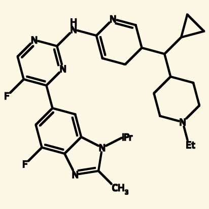 CCN1CCC(C(C2C=NC(Nc3ncc(F)c(-c4cc(F)c5nc(C)n(C(C)C)c5c4)n3)=CC2)C2CC2)CC1